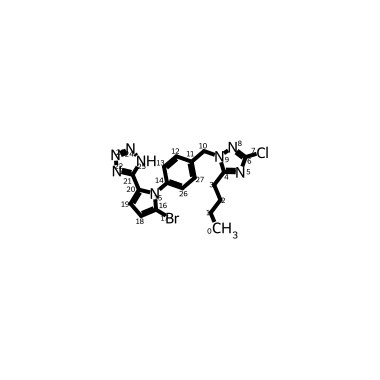 CCCCc1nc(Cl)nn1Cc1ccc(-n2c(Br)ccc2-c2nnn[nH]2)cc1